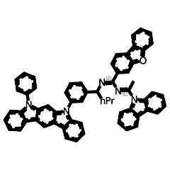 CCCC(/N=C(\N=C(/C)n1c2ccccc2c2ccccc21)c1ccc2c(c1)oc1ccccc12)c1cccc(-n2c3ccccc3c3cc4c5ccccc5n(-c5ccccc5)c4cc32)c1